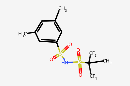 Cc1cc(C)cc(S(=O)(=O)NS(=O)(=O)C(C)(C(F)(F)F)C(F)(F)F)c1